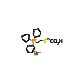 O=C(O)CSCC[P+](c1ccccc1)(c1ccccc1)c1ccccc1.[Br-]